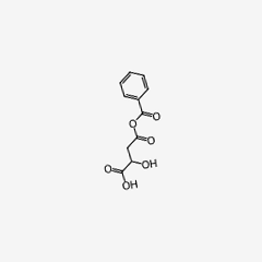 O=C(CC(O)C(=O)O)OC(=O)c1ccccc1